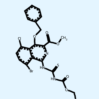 CCOC(=O)NC(=S)Nc1nc(C(=O)OC)c(OCc2ccccc2)c2c(Cl)ccc(Br)c12